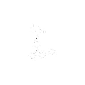 CC(C)(O)C(C)(C)OBc1ccc(-n2c3ccccc3c3ccc(-c4ccccc4)cc32)cc1